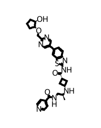 C[C@@H](CNC(=O)c1ccncc1)N[C@H]1C[C@@H](C(=O)Nc2nc3ccc(-c4cnc(CO[C@H]5CCC[C@@H]5O)nc4)cc3s2)C1